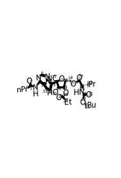 CCCC(=O)Nc1ncnn2c([C@]3(C#N)O[C@H](COC(=O)[C@@H](NC(=O)OC(C)(C)C)C(C)C)[C@@H](OC(=O)CC)[C@H]3O)ccc12